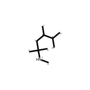 CNC(C)(C)CC(C)C(C)C